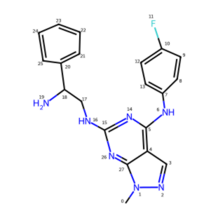 Cn1ncc2c(Nc3ccc(F)cc3)nc(NCC(N)c3ccccc3)nc21